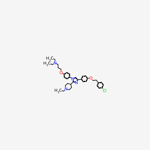 CCN(CC)CCCOc1ccc(-n2cc(-c3ccc(OCCc4ccc(Cl)cc4)cc3)nc2C2CCN(CC)CC2)cc1